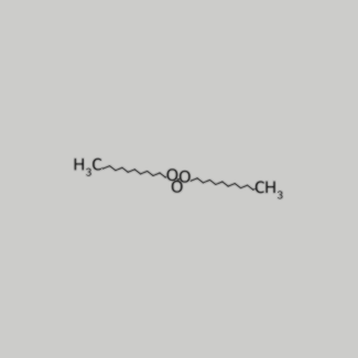 CCCCCCCCCCCCOC(=O)OCCCCCCCCCCCC